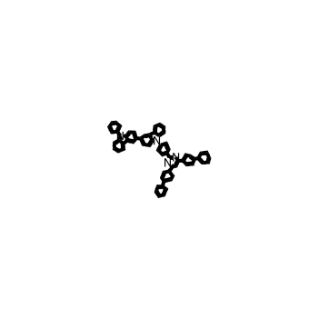 C1=CC(c2cc(-c3ccc(-c4ccccc4)cc3)nc(-c3ccc(-n4c5ccccc5c5cc(-c6ccc7c(c6)c6ccccc6n7-c6ccccc6)ccc54)cc3)n2)CC=C1c1ccccc1